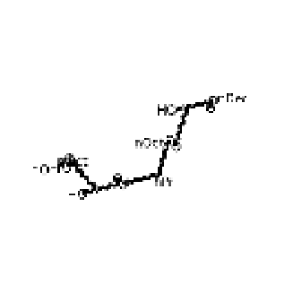 CCCCCCCCCCCOC(=O)CCCCCN(CCO)CCCCCCCC(=O)OC(CCCCCCCC)CCCCCCCC(CCC)CCCCCCCOC(=O)CCCCCN(CCO)CCCCCCCC(=O)OC(CCCCCCCC)CCCCCCCC